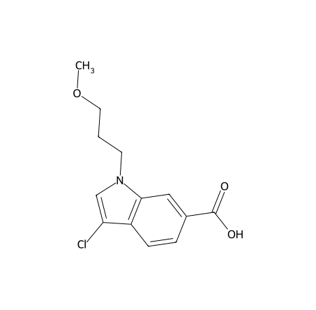 COCCCn1cc(Cl)c2ccc(C(=O)O)cc21